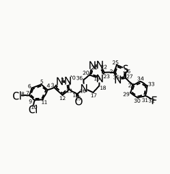 Cn1nc(-c2ccc(Cl)c(Cl)c2)cc1C(=O)N1CCn2c(nnc2-c2csc(-c3ccc(F)cc3)n2)C1